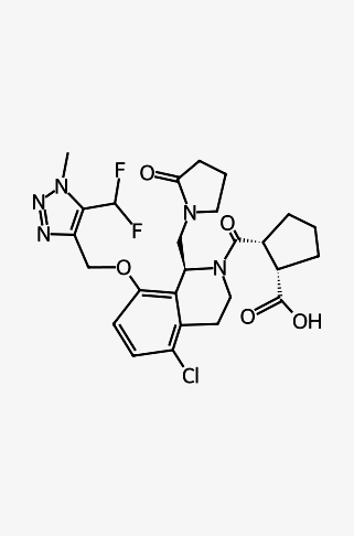 Cn1nnc(COc2ccc(Cl)c3c2[C@@H](CN2CCCC2=O)N(C(=O)[C@@H]2CCC[C@@H]2C(=O)O)CC3)c1C(F)F